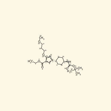 CCOC(=O)c1cn([C@H]2CC[C@H](NC(=O)OC(C)(C)C)CC2)nc1OCCCOC